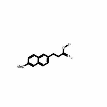 C=C(CCc1ccc2cc(OC)ccc2c1)OCC